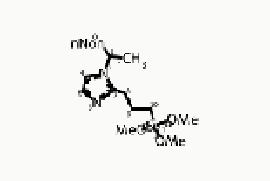 CCCCCCCCCC(C)n1ccnc1CCC[Si](OC)(OC)OC